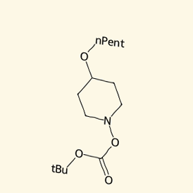 CCCCCOC1CCN(OC(=O)OC(C)(C)C)CC1